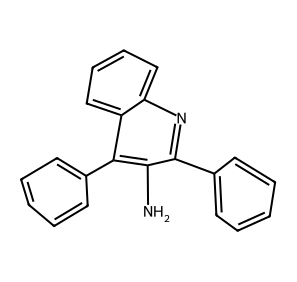 Nc1c(-c2ccccc2)nc2ccccc2c1-c1ccccc1